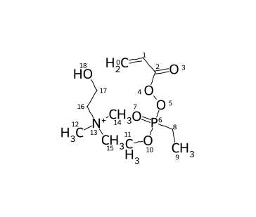 C=CC(=O)OOP(=O)(CC)OC.C[N+](C)(C)CCO